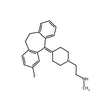 CNCCN1CCC(=C2c3ccccc3CCc3ccc(F)cc32)CC1